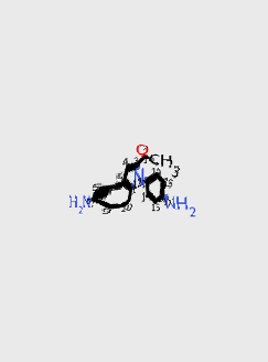 CC(=O)c1cc2cc(N)ccc2n1-c1ccc(N)cc1